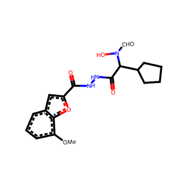 COc1cccc2cc(C(=O)NNC(=O)C(C3CCCC3)N(O)C=O)oc12